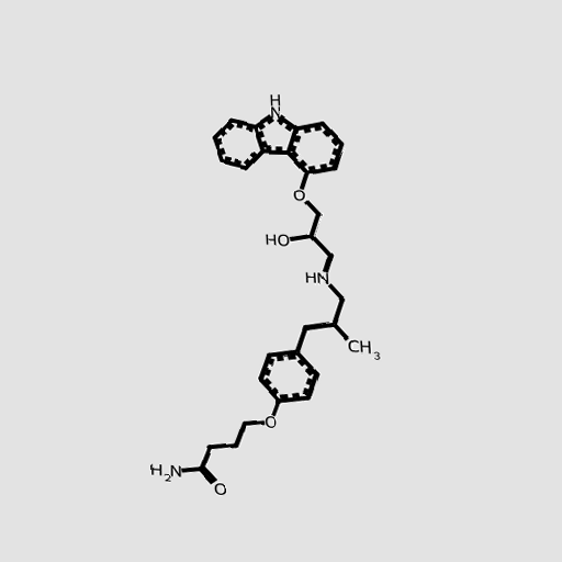 CC(CNCC(O)COc1cccc2[nH]c3ccccc3c12)Cc1ccc(OCCCC(N)=O)cc1